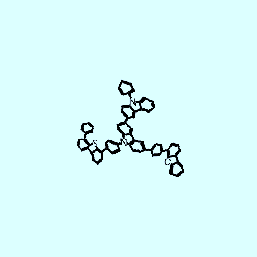 c1ccc(-c2cccc3c2sc2c(-c4ccc(-n5c6ccc(-c7ccc(-c8cccc9c8oc8ccccc89)cc7)cc6c6cc(-c7ccc8c(c7)c7ccccc7n8-c7ccccc7)ccc65)cc4)cccc23)cc1